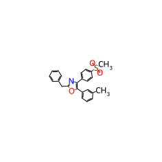 Cc1cccc(-c2oc(Cc3ccccc3)nc2-c2ccc(S(C)(=O)=O)cc2)c1